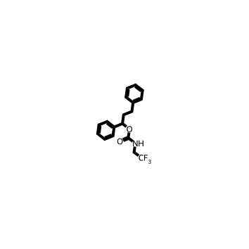 O=C(NCC(F)(F)F)OC(CCc1ccccc1)c1ccccc1